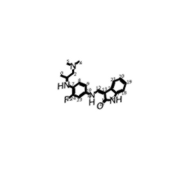 CC(CN(C)C)Nc1ccc(NC=C2C(=O)Nc3ccccc32)cc1F